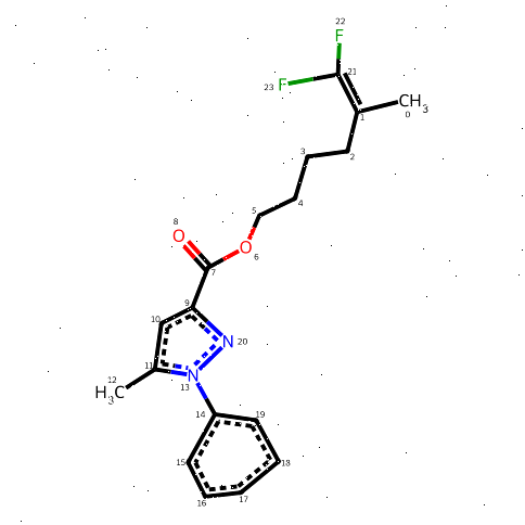 CC(CCCCOC(=O)c1cc(C)n(-c2ccccc2)n1)=C(F)F